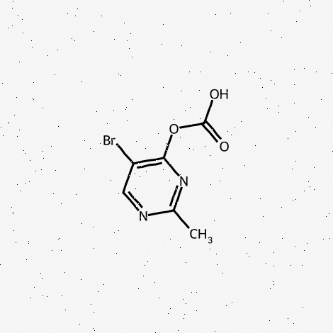 Cc1ncc(Br)c(OC(=O)O)n1